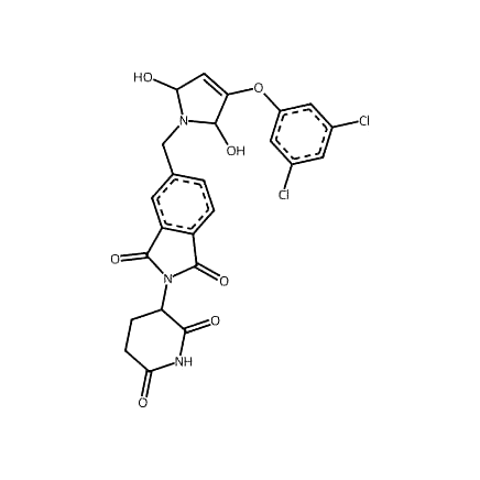 O=C1CCC(N2C(=O)c3ccc(CN4C(O)C=C(Oc5cc(Cl)cc(Cl)c5)C4O)cc3C2=O)C(=O)N1